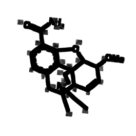 COC1C=CC2C3Cc4ccc(C(N)=O)c5c4C2(CC[N+]3(C)C)C1O5